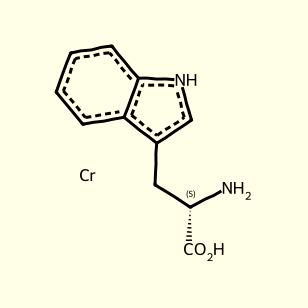 N[C@@H](Cc1c[nH]c2ccccc12)C(=O)O.[Cr]